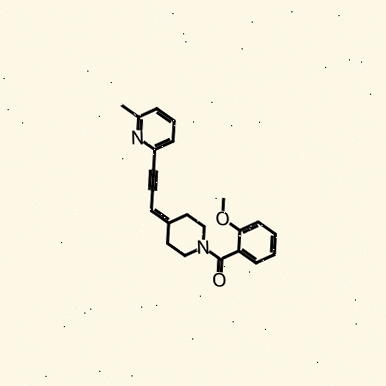 COc1ccccc1C(=O)N1CCC(=CC#Cc2cccc(C)n2)CC1